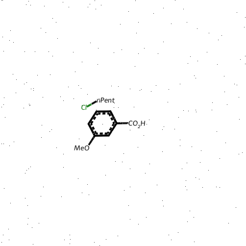 CCCCCCl.COc1cccc(C(=O)O)c1